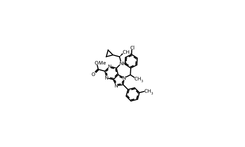 COC(=O)c1nc(N[C@H](C)C2CC2)c2c(n1)nc(-c1cccc(C)c1)n2C(C)c1ccc(Cl)cc1